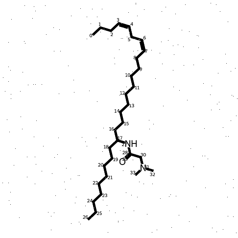 CCC/C=C\C/C=C\CCCCCCCCCC(CCCCCCCCC)NC(=O)CN(C)C